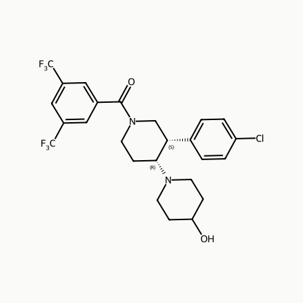 O=C(c1cc(C(F)(F)F)cc(C(F)(F)F)c1)N1CC[C@@H](N2CCC(O)CC2)[C@@H](c2ccc(Cl)cc2)C1